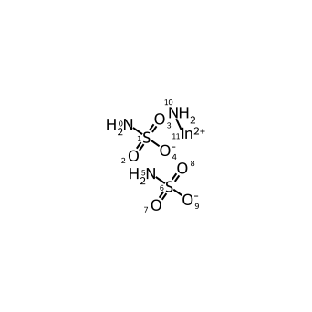 NS(=O)(=O)[O-].NS(=O)(=O)[O-].[NH2][In+2]